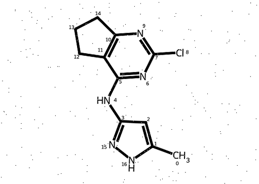 Cc1cc(Nc2nc(Cl)nc3c2CCC3)n[nH]1